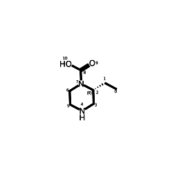 CC[C@@H]1CNCCN1C(=O)O